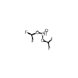 O=[PH](OC(F)F)OC(F)F